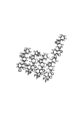 O=C(c1cccc(C(F)(F)F)c1Cl)N1CCc2c(ncn2-c2ccccc2)C1.O=C(c1cccc(C(F)(F)F)c1Cl)N1CCc2c(ncn2-c2ccccn2)C1.O=C(c1cccc(C(F)(F)F)c1Cl)N1CCc2c(ncn2-c2ccn[nH]2)C1.O=C(c1cccc(Cl)c1Cl)N1CCc2c(ncn2-c2ccccc2)C1.O=C(c1cccc(Cl)c1Cl)N1CCc2c(ncn2-c2ccccn2)C1